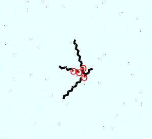 CCCCCCCCCCOC(CCC)=C(OCCCCCCCCCC)OCOCCCCC